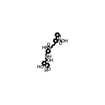 O=C(O)Nc1cc(CCCn2c(=O)[nH]c3cc(CNC[C@H](O)c4ccc(O)c5[nH]c(=O)ccc45)ccc32)ccc1-c1ccccc1